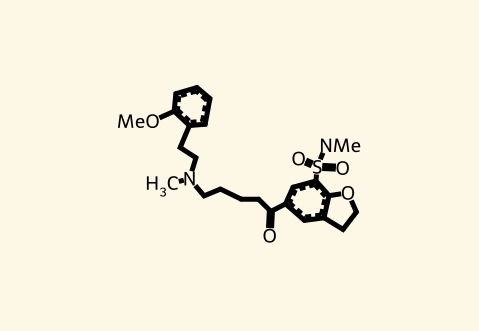 CNS(=O)(=O)c1cc(C(=O)CCCCN(C)CCc2ccccc2OC)cc2c1OCC2